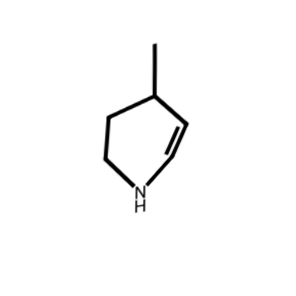 CC1C=CNCC1